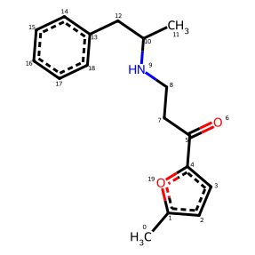 Cc1ccc(C(=O)CCNC(C)Cc2ccccc2)o1